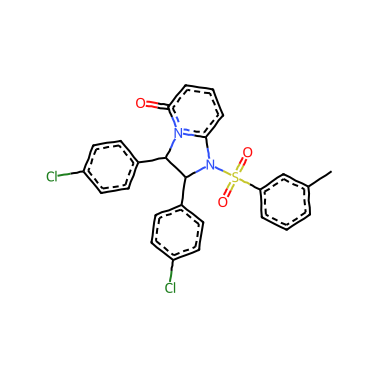 Cc1cccc(S(=O)(=O)N2c3cccc(=O)n3C(c3ccc(Cl)cc3)C2c2ccc(Cl)cc2)c1